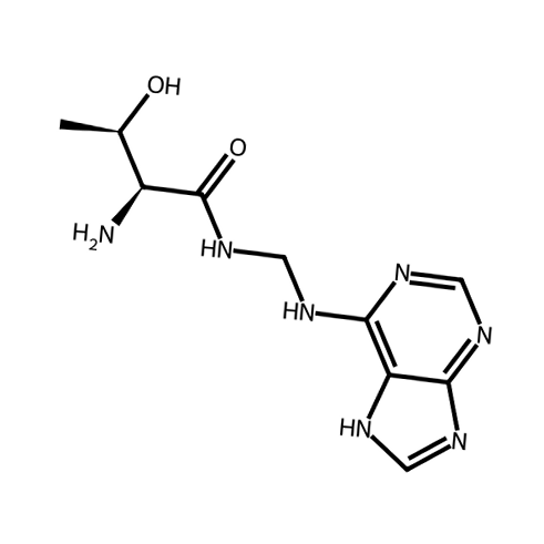 C[C@@H](O)[C@H](N)C(=O)NCNc1ncnc2nc[nH]c12